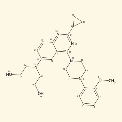 COc1ccccc1N1CCN(c2nc(C3CC3)nc3ccc(N(CCO)CCO)cc23)CC1